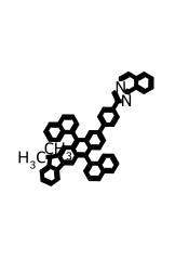 CC1(C)c2ccccc2-c2cc3c(-c4cccc5ccccc45)c4ccc(-c5ccc(-c6cn7ccc8ccccc8c7n6)cc5)cc4c(-c4cccc5ccccc45)c3cc21